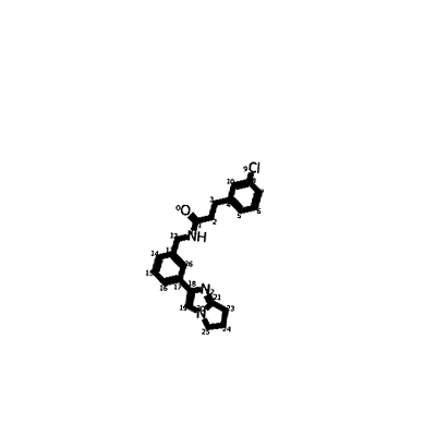 O=C(CCc1cccc(Cl)c1)NCc1cccc(-c2cn3c(n2)CCC3)c1